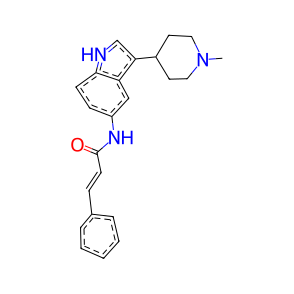 CN1CCC(c2c[nH]c3ccc(NC(=O)C=Cc4ccccc4)cc23)CC1